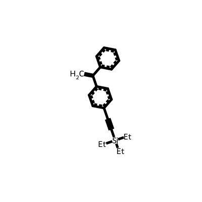 C=C(c1ccccc1)c1ccc(C#C[Si](CC)(CC)CC)cc1